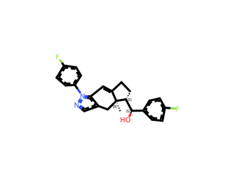 C[C@]12Cc3cnn(-c4ccc(F)cc4)c3C=C1CC[C@@H]2[C@H](O)c1ccc(F)cc1